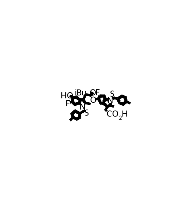 CCC(C)C(C(=O)Oc1cc2c(CC(=O)O)c(C)n(C(=S)c3ccc(C)cc3)c2cc1F)c1c(C)n(C(=S)c2ccc(C)cc2)c2cc(F)c(O)cc12